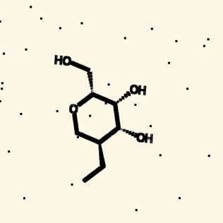 CC[C@H]1CO[C@H](CO)[C@H](O)[C@@H]1O